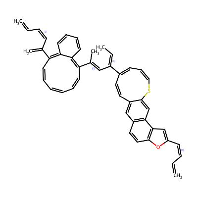 C=C/C=C\C(=C)c1ccccccc(/C(C)=C/C(=C\C)c2cccsc3cc4c(ccc5oc(/C=C\C=C)cc54)cc3cc2)c2ccccc12